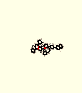 C=C1/C=C\C=C/Cc2ccccc2N1c1ccccc1N(c1ccc(-c2ccc(-c3ccc4ccccc4c3)cc2)cc1)c1ccccc1-c1ccc2c(c1)sc1ccccc12